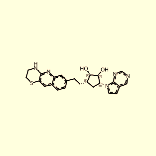 O[C@@H]1[C@@H](CCc2ccc3cc4c(nc3c2)NCCS4)C[C@@H](n2ccc3cncnc32)[C@@H]1O